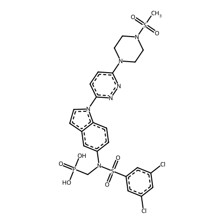 CS(=O)(=O)N1CCN(c2ccc(-n3ccc4cc(N(CP(=O)(O)O)S(=O)(=O)c5cc(Cl)cc(Cl)c5)ccc43)nn2)CC1